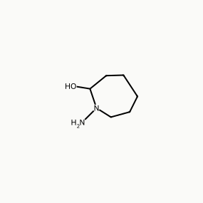 NN1CCCCCC1O